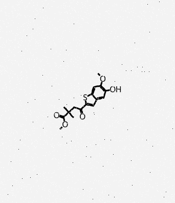 COC(=O)C(C)(C)CC(=O)c1cc2cc(O)c(OC)cc2s1